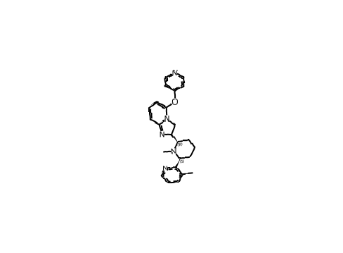 Cc1cccnc1[C@@H]1CCC[C@H](C2CN3C(Oc4ccncc4)=CC=CC3=N2)N1C